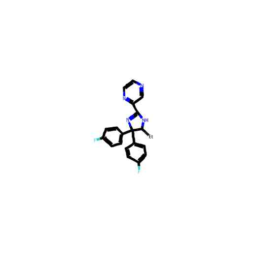 CCC1NC(c2cnccn2)=NC1(c1ccc(F)cc1)c1ccc(F)cc1